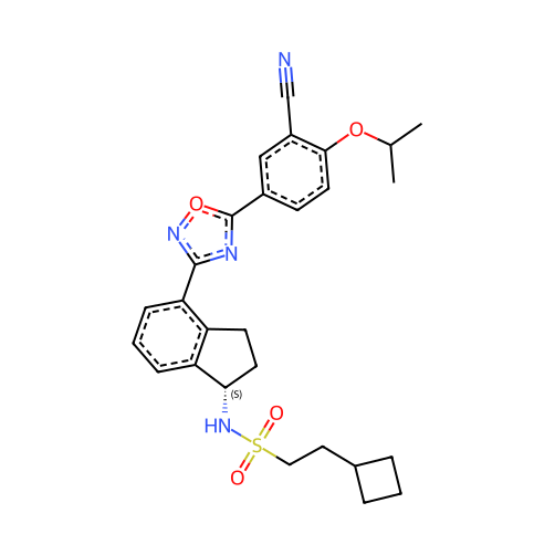 CC(C)Oc1ccc(-c2nc(-c3cccc4c3CC[C@@H]4NS(=O)(=O)CCC3CCC3)no2)cc1C#N